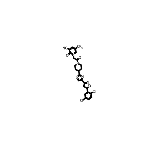 N#Cc1cc(C(F)(F)F)cn(CC(=O)N2CCC(c3nc(C4=NOC(c5cc(Cl)ccc5Cl)C4)cs3)CC2)c1=O